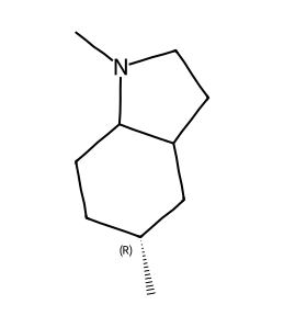 C[C@@H]1CCC2C(CCN2C)C1